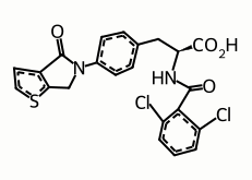 O=C(N[C@@H](Cc1ccc(N2Cc3sccc3C2=O)cc1)C(=O)O)c1c(Cl)cccc1Cl